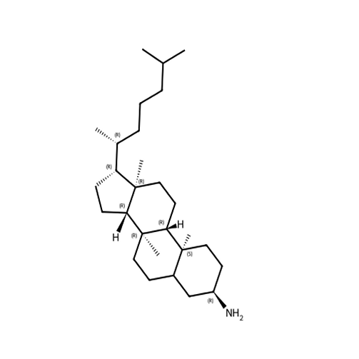 CC(C)CCC[C@@H](C)[C@H]1CC[C@@H]2[C@]1(C)CC[C@H]1[C@@]2(C)CCC2C[C@H](N)CC[C@@]21C